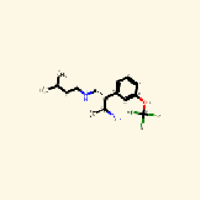 [CH2][C@H](N)[C@H](CNCCC(C)C)c1cccc(OC(F)(F)F)c1